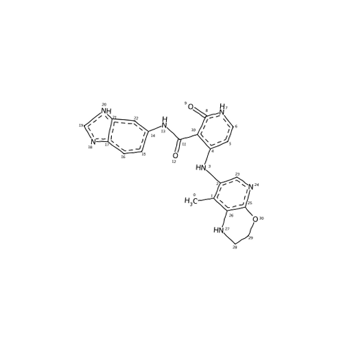 Cc1c(Nc2cc[nH]c(=O)c2C(=O)Nc2ccc3nc[nH]c3c2)cnc2c1NCCO2